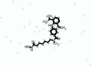 CC(C)c1cccc(C(C)C)c1Nc1ccc(C(=O)N(C)CCCCCCC(=O)NO)cc1